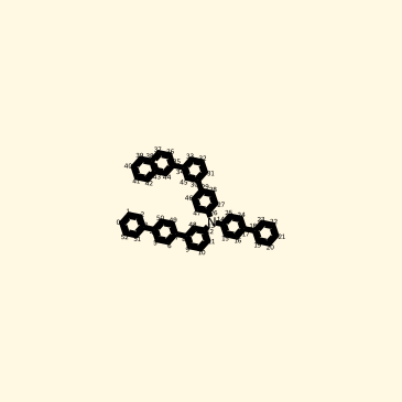 c1ccc(-c2ccc(-c3cccc(N(c4ccc(-c5ccccc5)cc4)c4ccc(-c5cccc(-c6ccc7ccccc7c6)c5)cc4)c3)cc2)cc1